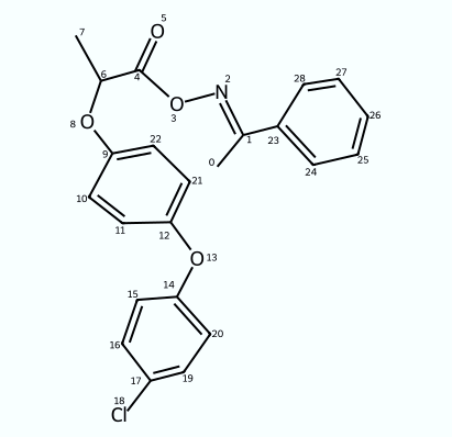 CC(=NOC(=O)C(C)Oc1ccc(Oc2ccc(Cl)cc2)cc1)c1ccccc1